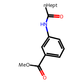 CCCCCCCC(=O)Nc1cccc(C(=O)OC)c1